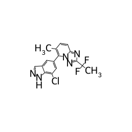 Cc1ccc2nc(C(C)(F)F)nn2c1-c1cc(Cl)c2[nH]ncc2c1